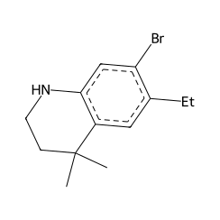 CCc1cc2c(cc1Br)NCCC2(C)C